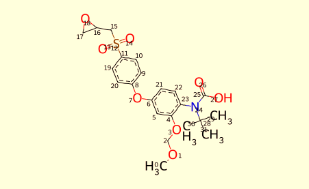 COCOc1cc(Oc2ccc(S(=O)(=O)CC3CO3)cc2)ccc1N(C(=O)O)C(C)(C)C